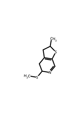 CSC1CC2=C(C=N1)SC(C)C2